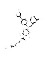 CC[C@@H]1C[C@H](N(Cc2cc(C(F)(F)F)cc(C(F)(F)F)c2)c2ncc(-c3cnn(C)c3)cn2)C[C@H](CC)N1C(=O)OCCCC(=O)OC